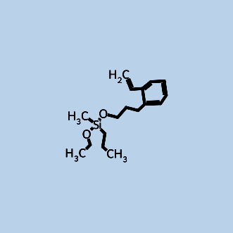 C=Cc1ccccc1CCCO[Si](C)(CCC)OCC